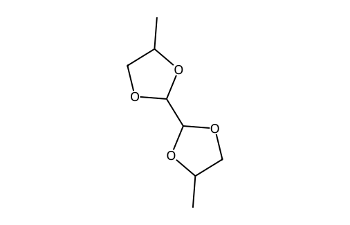 CC1COC(C2OCC(C)O2)O1